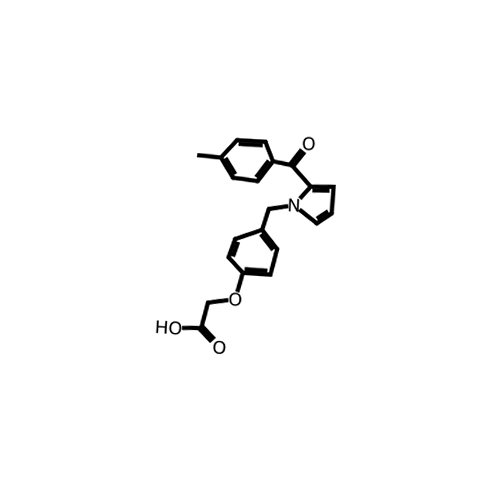 Cc1ccc(C(=O)c2cccn2Cc2ccc(OCC(=O)O)cc2)cc1